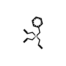 C=C[CH2][Sn]([CH2]C=C)([CH2]C=C)[CH2]c1ccccc1